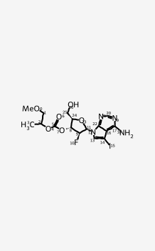 COCC(C)OC(=O)O[C@H]1[C@H](F)[C@H](n2cc(I)c3c(N)ncnc32)O[C@@H]1CO